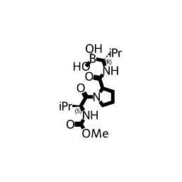 COC(=O)N[C@H](C(=O)N1CCCC1C(=O)N[C@H](B(O)O)C(C)C)C(C)C